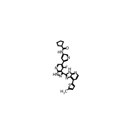 Cc1ccc(-c2ccnc3[nH]c(-c4n[nH]c5ncc(-c6cncc(NC(=O)C7CCCC7)c6)c(F)c45)nc23)s1